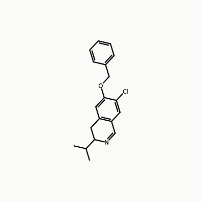 CC(C)C1Cc2cc(OCc3ccccc3)c(Cl)cc2C=N1